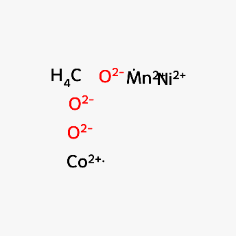 C.[Co+2].[Mn+2].[Ni+2].[O-2].[O-2].[O-2]